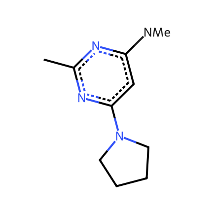 CNc1cc(N2CCCC2)nc(C)n1